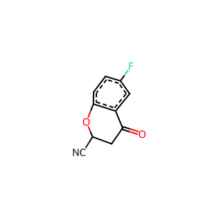 N#CC1CC(=O)c2cc(F)ccc2O1